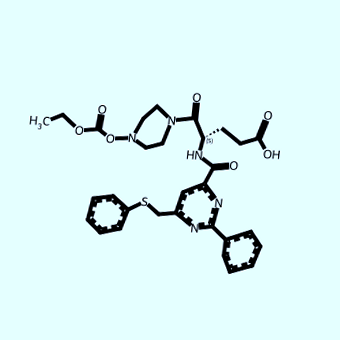 CCOC(=O)ON1CCN(C(=O)[C@H](CCC(=O)O)NC(=O)c2cc(CSc3ccccc3)nc(-c3ccccc3)n2)CC1